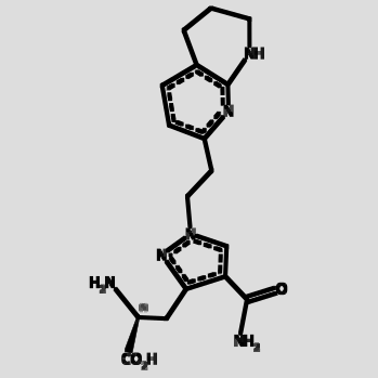 NC(=O)c1cn(CCc2ccc3c(n2)NCCC3)nc1C[C@H](N)C(=O)O